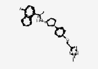 C[C@@H](N[C@H]1CC[C@@H](c2ccc(OCc3nn[nH]n3)cc2)C1)c1ccc(F)c2ccccc12